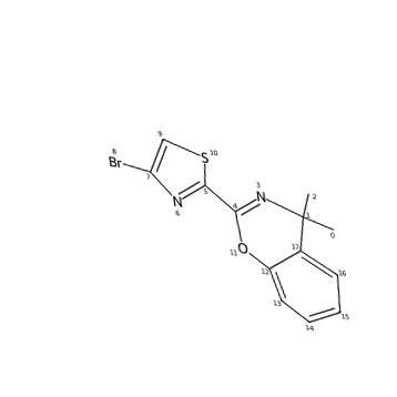 CC1(C)N=C(c2nc(Br)cs2)Oc2ccccc21